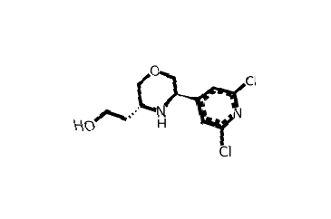 OCC[C@@H]1COC[C@@H](c2cc(Cl)nc(Cl)c2)N1